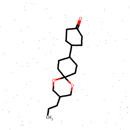 CCCC1COC2(CCC(C3CCC(=O)CC3)CC2)OC1